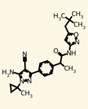 CC(C(=O)Nc1cc(CC(C)(C)C)on1)c1ccc(-c2nn(C3(C)CC3)c(N)c2C#N)cc1